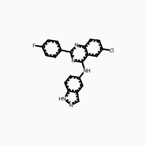 Fc1ccc(-c2nc(Nc3ccc4[nH]ncc4c3)c3cc(Cl)ccc3n2)cc1